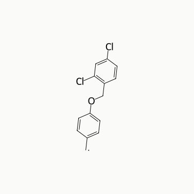 [CH2]c1ccc(OCc2ccc(Cl)cc2Cl)cc1